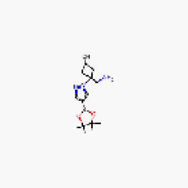 CC1(C)OB(c2cnn([C@]3(CN)C[C@@H](C#N)C3)c2)OC1(C)C